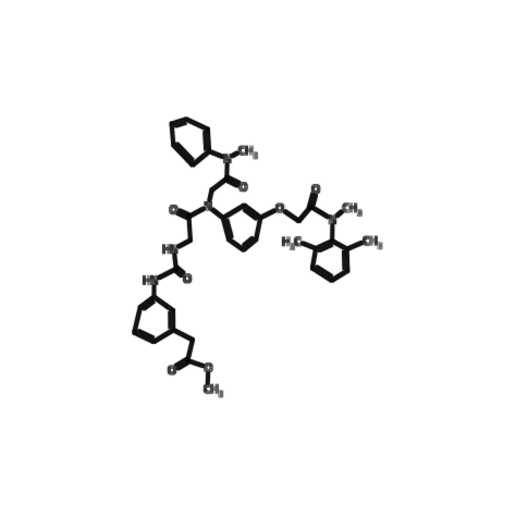 COC(=O)Cc1cccc(NC(=O)NCC(=O)N(CC(=O)N(C)c2ccccc2)c2cccc(OCC(=O)N(C)c3c(C)cccc3C)c2)c1